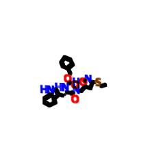 CCSC1=NOC(CNC(=O)[C@H](Cc2c[nH]c3ccccc23)NC(=O)OCc2ccccc2)C1